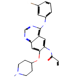 C=CC(=O)Nc1cc2c(Nc3cccc(Br)c3)ncnc2cc1OC1CCN(C)CC1